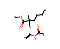 C=COC(C)=O.CCCCC(C)(C)C(=O)OC